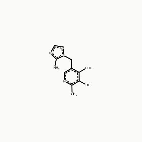 Cc1ncc(Cn2ncnc2N)c(C=O)c1O